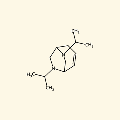 CC(C)N1CC2CC=CC1CN2C(C)C